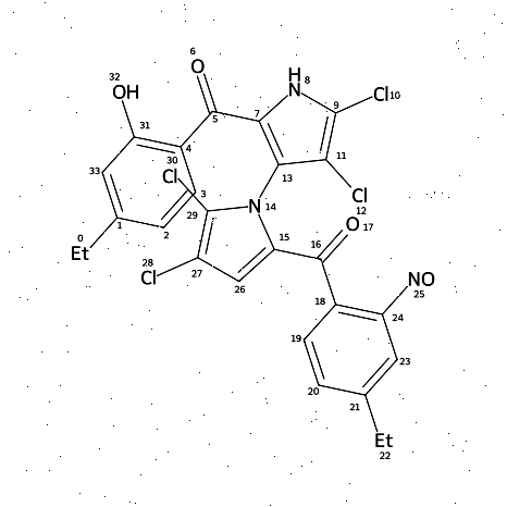 CCc1ccc(C(=O)c2[nH]c(Cl)c(Cl)c2-n2c(C(=O)c3ccc(CC)cc3N=O)cc(Cl)c2Cl)c(O)c1